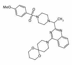 COc1ccc(S(=O)(=O)N2CCN(C(C)c3nc(N4CCC5(CC4)OCCCO5)c4ccccc4n3)CC2)cc1